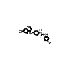 O=C(Nc1ccc(Br)cc1)NC1CCC(Nc2ccnc3cc(Cl)ccc23)CC1